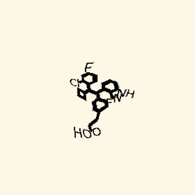 O=C(O)C=Cc1ccc(C(=C(c2ccc(F)cc2Cl)C2CCC2)c2cccc3[nH]nc(F)c23)cc1